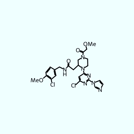 COCC(=O)N1CCN(c2cc(Cl)nc(-n3ccnc3)n2)C(CC(=O)NCc2ccc(OC)c(Cl)c2)C1